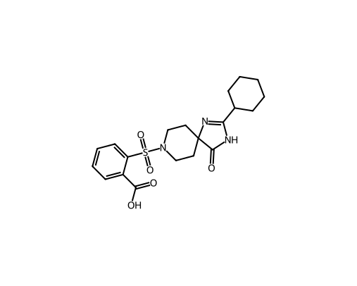 O=C(O)c1ccccc1S(=O)(=O)N1CCC2(CC1)N=C(C1CCCCC1)NC2=O